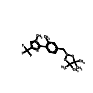 Cc1cc(CB2OC(C)(C)C(C)(C)O2)ccc1-c1nc(C(F)(F)F)cn1C